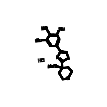 CNC1(c2nc(-c3cc(C(C)(C)C)c(O)c(C(C)(C)C)c3)cs2)CCOCC1.Cl